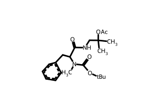 CC(=O)OC(C)(C)CNC(=O)C(Cc1ccccc1)N(C)C(=O)OC(C)(C)C